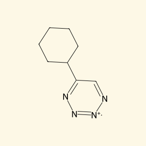 C1=N[N+]=NN=C1C1CCCCC1